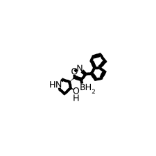 Bc1c(-c2cccc3ccccc23)noc1[C@H]1CNCC[C@H]1O